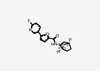 O=C(N[C@@H]1C[C@H]2CC[C@@H]1N2)c1ccc(-c2ccc(F)nc2)o1